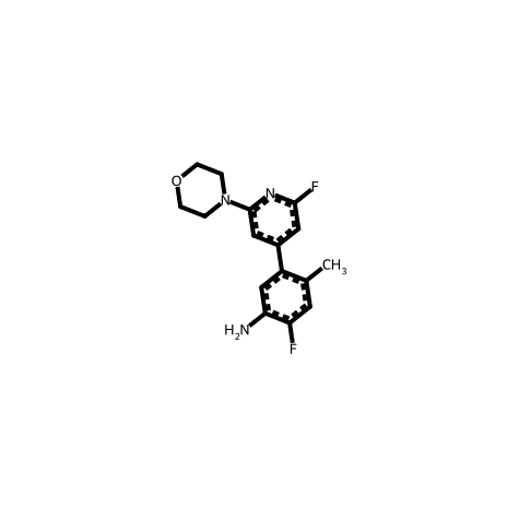 Cc1cc(F)c(N)cc1-c1cc(F)nc(N2CCOCC2)c1